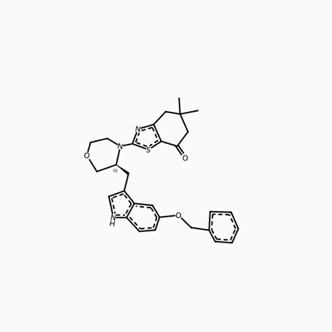 CC1(C)CC(=O)c2sc(N3CCOC[C@@H]3Cc3c[nH]c4ccc(OCc5ccccc5)cc34)nc2C1